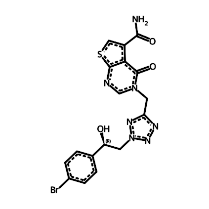 NC(=O)c1csc2ncn(Cc3nnn(C[C@H](O)c4ccc(Br)cc4)n3)c(=O)c12